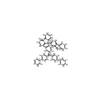 c1ccc(-c2ccc(N(c3ccc(-c4ccccc4)cc3)c3ccc(C4(c5ccc6c(c5)sc5ccccc56)c5ccccc5-c5ccccc54)cc3)cc2)cc1